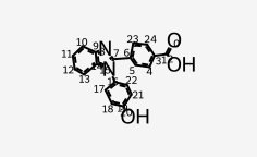 O=C(O)c1ccc(-c2nc3ccccc3n2-c2ccc(O)cc2)cc1